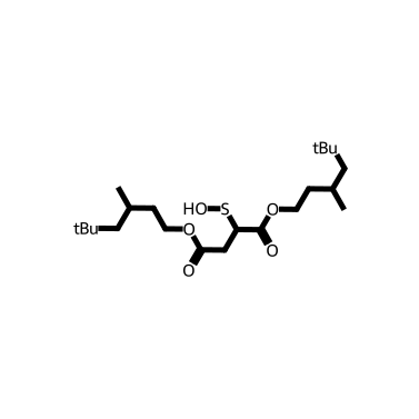 CC(CCOC(=O)CC(SO)C(=O)OCCC(C)CC(C)(C)C)CC(C)(C)C